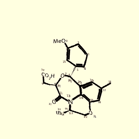 COc1cccc([C@H]2O[C@H](CC(=O)O)C(=O)N3c4c(cc(C)cc42)OC[C@H]3C(C)(C)C)c1